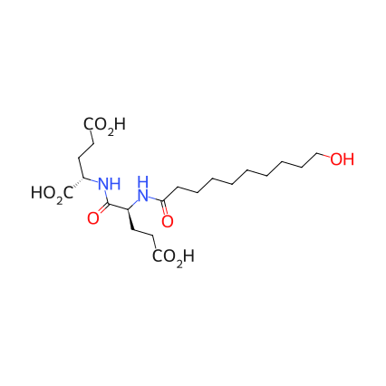 O=C(O)CC[C@H](NC(=O)[C@H](CCC(=O)O)NC(=O)CCCCCCCCCO)C(=O)O